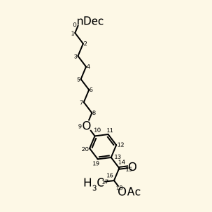 CCCCCCCCCCCCCCCCCCOc1ccc(C(=O)C(C)OC(C)=O)cc1